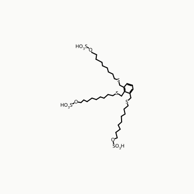 O=S(=O)(O)OCCCCCCCCCSCc1cccc(CSCCCCCCCCCOS(=O)(=O)O)c1CSCCCCCCCCCOS(=O)(=O)O